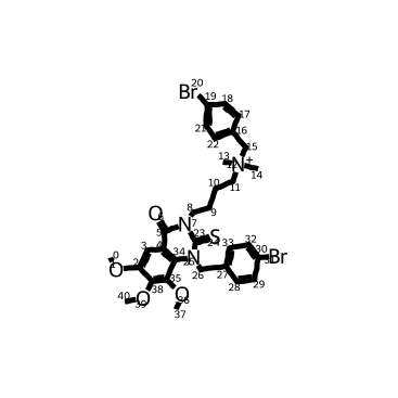 COc1cc2c(=O)n(CCCC[N+](C)(C)Cc3ccc(Br)cc3)c(=S)n(Cc3ccc(Br)cc3)c2c(OC)c1OC